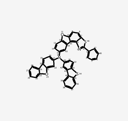 c1ccc(-c2nc3c(ccc4oc5ccc(N(c6ccc7c(c6)oc6ccccc67)c6ccc7sc8ccccc8c7c6)cc5c43)s2)cc1